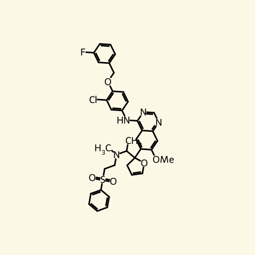 COc1cc2ncnc(Nc3ccc(OCc4cccc(F)c4)c(Cl)c3)c2cc1C1(C(C)N(C)CCS(=O)(=O)c2ccccc2)CC=CO1